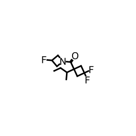 CCC(C)C1(C(=O)N2CC(F)C2)CC(F)(F)C1